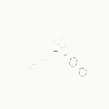 O=C(O)C[C@@H]1[C@@H](C=CCCCCOCCO)[C@@H](OC(=O)c2ccc(-c3ccccc3)cc2)C[C@@H]1O